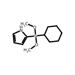 CO[Si](OC)(c1ccc[nH]1)C1CCCCC1